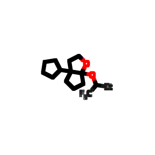 CCC(OC12CCCC1(C1CCCC1)CCO2)C(F)(F)F